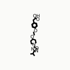 CC(C)c1noc(N2CCC(OCCOc3ccc(CC(=O)O)cc3)CC2)n1